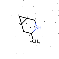 CC1CC2CC2CN1